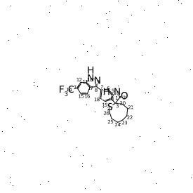 NC(=O)C1(c2ccc(-c3n[nH]c4cc(C(F)(F)F)ccc34)cc2)CCCCCCCS1